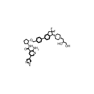 Cn1cc(-c2cnc(N)c(C(=O)N[C@H]3CCC[C@@H]3OCc3ccc(-c4ccc5c(c4)CC(F)(F)C5N4CCN(CC(O)CO)CC4)cc3)c2)cn1